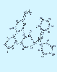 Nc1ccc(-c2ccccc2-c2ccc(N(c3ccccc3)c3ccccc3)cc2)cc1